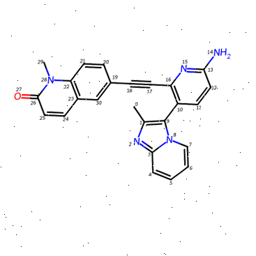 Cc1nc2ccccn2c1-c1ccc(N)nc1C#Cc1ccc2c(ccc(=O)n2C)c1